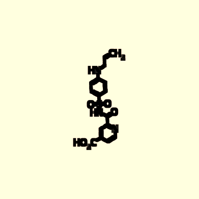 C=CCNc1ccc(S(=O)(=O)NC(=O)c2cc(C(=O)O)ccn2)cc1